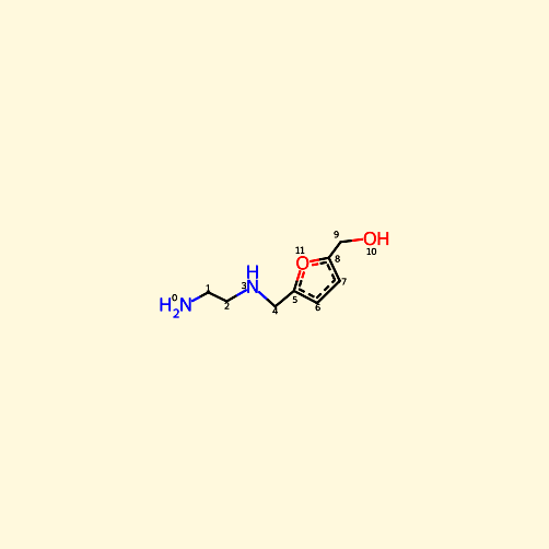 NCCNCc1ccc(CO)o1